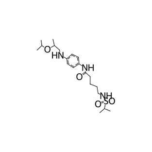 CC(C)OC(C)CNc1ccc(NC(=O)CCCCNS(=O)(=O)C(C)C)cc1